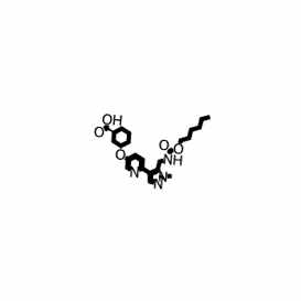 CCCCCCOC(=O)NCc1c(-c2ccc(O[C@H]3CCC[C@H](C(=O)O)C3)cn2)cnn1C